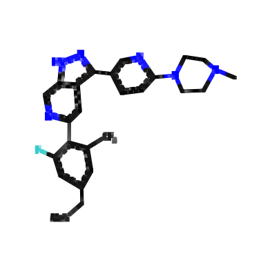 CNCc1cc(F)c(-c2cc3c(-c4ccc(N5CCN(C)CC5)nc4)n[nH]c3cn2)c(C(F)(F)F)c1